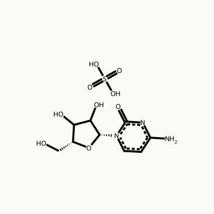 Nc1ccn([C@@H]2O[C@H](CO)C(O)C2O)c(=O)n1.O=S(=O)(O)O